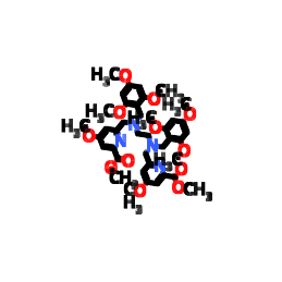 COC(=O)c1cc(OC)cc(CN(CCN(Cc2cc(OC)cc(C(=O)OC)n2)Cc2c(OC)cc(OC)cc2OC)Cc2c(OC)cc(OC)cc2OC)n1